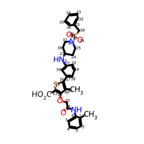 Cc1ccccc1NC(=O)COc1c(C(=O)O)sc(-c2cccc(NC3CCN(S(=O)(=O)Cc4ccccc4)CC3)c2)c1C